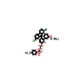 CCCCCCOc1ccc(C2(c3ccc(OCCOS(=O)(=O)c4ccc(C)cc4)cc3)c3cc(Br)ccc3-c3ccc(Br)cc32)cc1